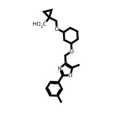 Cc1cccc(-c2nc(COC3CCCC(OCC4(C(=O)O)CC4)C3)c(C)o2)c1